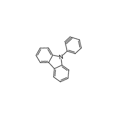 c1cccc(-n2c3ccccc3c3ccccc32)c#1